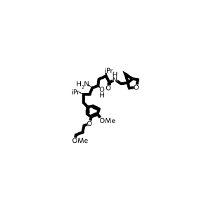 COCCCOc1cc(C[C@@H](C[C@H](N)[C@@H](O)C[C@H](C(=O)NCC23COCC2C3)C(C)C)C(C)C)ccc1OC